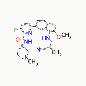 C=C(C#N)CNc1c(OC)ccc2ccc(-c3ccc(F)c(C(=O)N[C@H]4CCCN(C)C4)n3)cc12